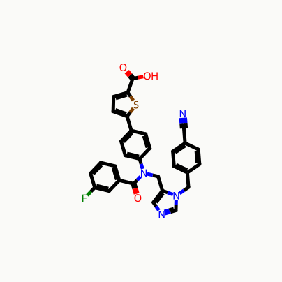 N#Cc1ccc(Cn2cncc2CN(C(=O)c2cccc(F)c2)c2ccc(-c3ccc(C(=O)O)s3)cc2)cc1